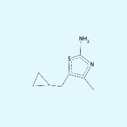 Cc1nc(N)sc1CC1CC1